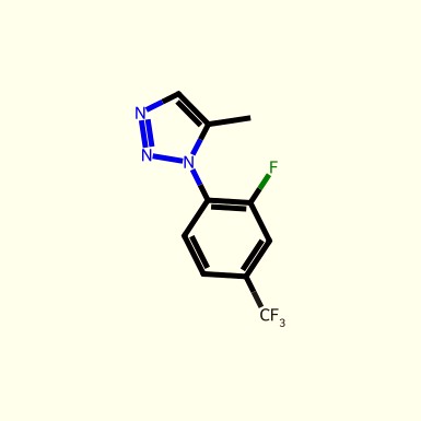 Cc1cnnn1-c1ccc(C(F)(F)F)cc1F